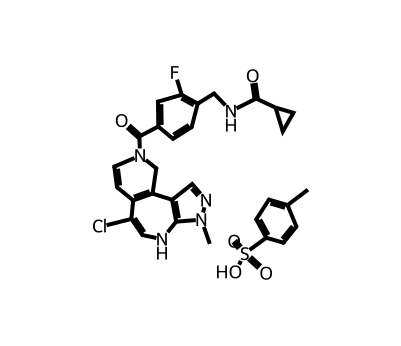 Cc1ccc(S(=O)(=O)O)cc1.Cn1ncc2c1NC=C(Cl)C1=C2CN(C(=O)c2ccc(CNC(=O)C3CC3)c(F)c2)C=C1